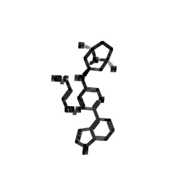 CN1[C@@H]2CC[C@H]1C[C@@H](Nc1ccc(-c3cccc4[nH]ccc34)nc1)C2.O=C(O)/C=C/C(=O)O